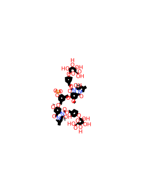 C=C1C[C@H]2C(O)N(C(=O)OCc3ccc(O[C@@H]4O[C@H](C(=O)O)[C@@H](O)[C@H](O)[C@H]4O)cc3)c3cc(OCc4cc(COc5cc6c(cc5OC)C(=O)N5CC(=C)C[C@H]5C(O)N6C(=O)OCc5ccc(O[C@@H]6O[C@H](C(=O)O)[C@@H](O)[C@H](O)[C@H]6O)cc5)cc(O[S](=O)=O)c4)c(OC)cc3C(=O)N2C1